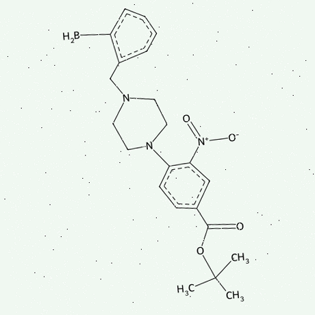 Bc1ccccc1CN1CCN(c2ccc(C(=O)OC(C)(C)C)cc2[N+](=O)[O-])CC1